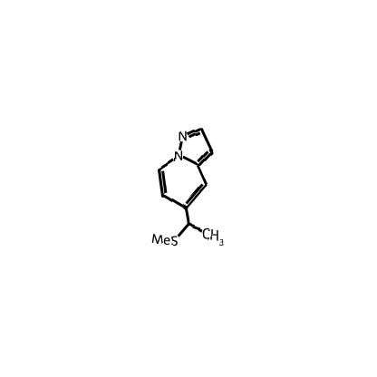 CSC(C)c1ccn2nccc2c1